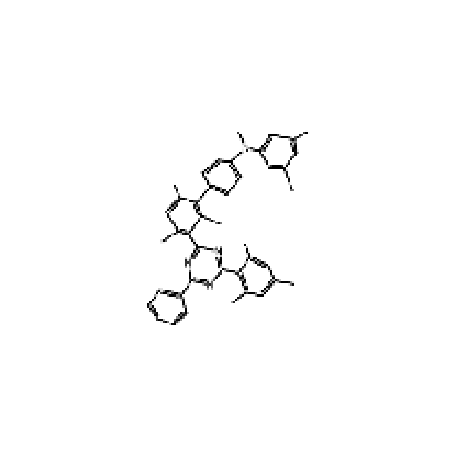 Cc1cc(C)cc(N(C)c2ccc(-c3c(C)cc(C)c(-c4nc(-c5ccccc5)nc(-c5c(C)cc(C)cc5C)n4)c3C)cc2)c1